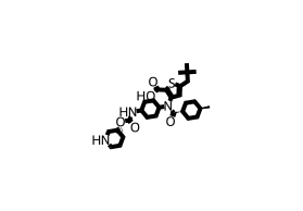 CC(C)(C)Cc1cc(N(C(=O)[C@H]2CC[C@H](C)CC2)C2CCC(NC(=O)O[C@@H]3CCCNC3)CC2)c(C(=O)O)s1